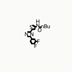 CCCCC(=O)Nc1csc(-c2cncc(-c3ccc(F)c(F)c3)n2)c1